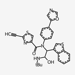 C#Cc1nc(C(=O)N(c2ccc(-c3cnco3)cc2)C(c2csc3ccccc23)C(O)NC(C)(C)C)cs1